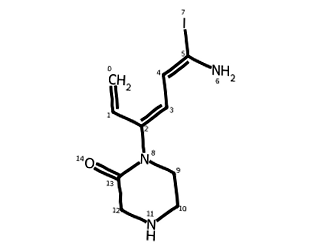 C=C/C(=C\C=C(/N)I)N1CCNCC1=O